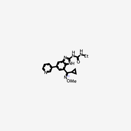 CCNC(=O)Nc1nc2cc(-c3cccnc3)cc(/C(=N/OC)C3CC3)c2[nH]1